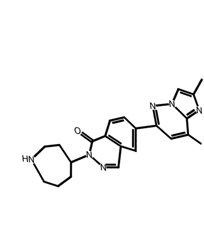 Cc1cn2nc(-c3ccc4c(=O)n(C5CCCNCC5)ncc4c3)cc(C)c2n1